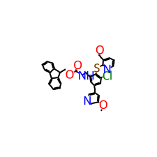 COc1cncc(-c2cc(Cl)c(Sc3ncccc3C=O)c(CNC(=O)OCC3c4ccccc4-c4ccccc43)c2)c1